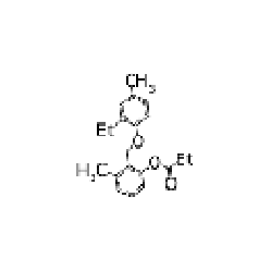 CCC(=O)Oc1cccc(C)c1COc1ccc(C)cc1CC